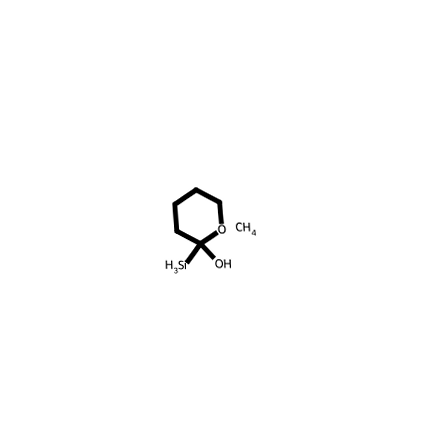 C.OC1([SiH3])CCCCO1